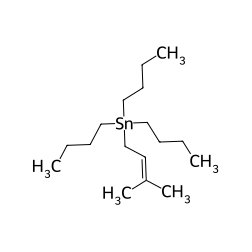 CCC[CH2][Sn]([CH2]C=C(C)C)([CH2]CCC)[CH2]CCC